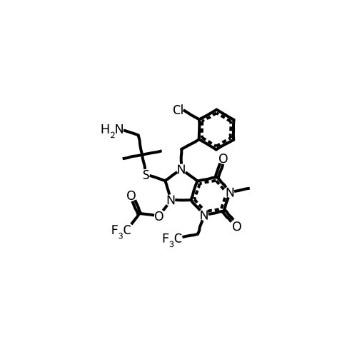 Cn1c(=O)c2c(n(CC(F)(F)F)c1=O)N(OC(=O)C(F)(F)F)C(SC(C)(C)CN)N2Cc1ccccc1Cl